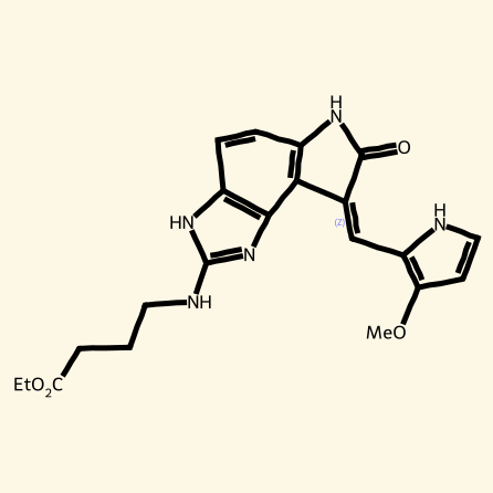 CCOC(=O)CCCNc1nc2c3c(ccc2[nH]1)NC(=O)/C3=C\c1[nH]ccc1OC